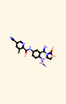 Cc1cc(C#N)cnc1C(=O)Nc1ccc(NPI)c(C(=N)n2ccoc2=O)c1